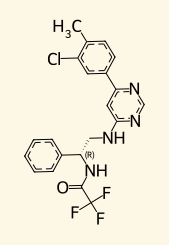 Cc1ccc(-c2cc(NC[C@H](NC(=O)C(F)(F)F)c3ccccc3)ncn2)cc1Cl